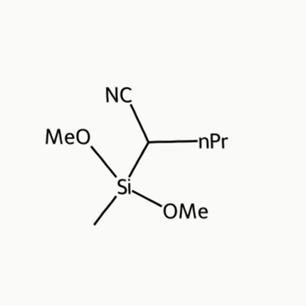 CCCC(C#N)[Si](C)(OC)OC